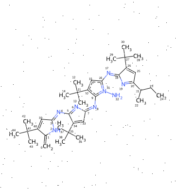 C=C1N/C(=N\C2=NC(=N\c3c(C(C)(C)C)cc(/N=C4\N=C(C(C)CC)C=C4C(C)(C)C)n3N)/C=C2C(C)(C)C)C=C1C(C)(C)C